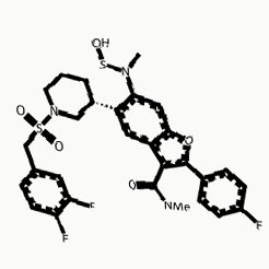 CNC(=O)c1c(-c2ccc(F)cc2)oc2cc(N(C)SO)c([C@H]3CCCN(S(=O)(=O)Cc4ccc(F)c(F)c4)C3)cc12